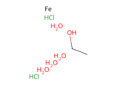 CCO.Cl.Cl.O.O.O.O.[Fe]